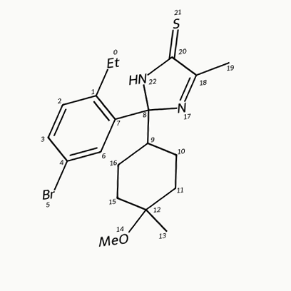 CCc1ccc(Br)cc1C1(C2CCC(C)(OC)CC2)N=C(C)C(=S)N1